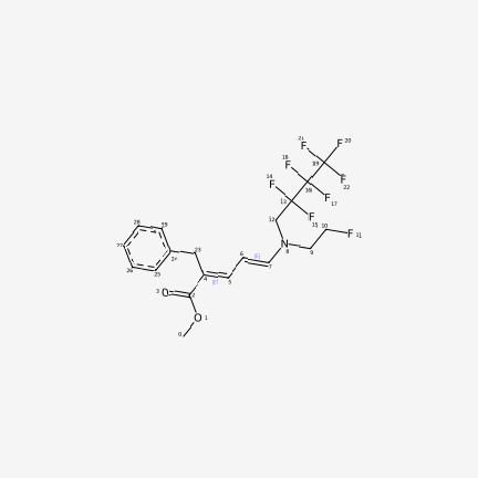 COC(=O)/C(=C/C=C/N(CCF)CC(F)(F)C(F)(F)C(F)(F)F)Cc1ccccc1